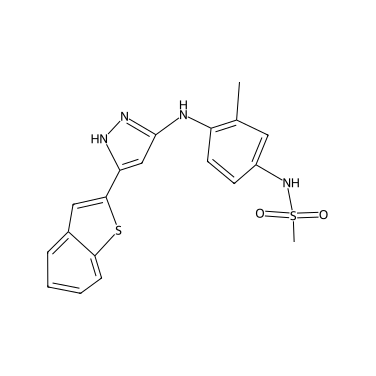 Cc1cc(NS(C)(=O)=O)ccc1Nc1cc(-c2cc3ccccc3s2)[nH]n1